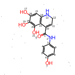 O=C(Nc1ccc(O)cc1)C1=CCNc2cc(O)c(O)c(O)c21